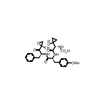 COc1ccc(C[C@H](NC(=O)[C@@H](NC(=O)O)C2(O)CC2)C(=O)N[C@@H](Cc2ccccc2)C(=O)[C@@]2(C)CO2)cc1